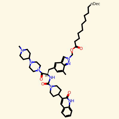 CCCCCCCCCCCCCCCCCCCC(=O)OCn1cc2cc(C[C@@H](NC(=O)N3CCC(c4cc5ccccc5[nH]c4=O)CC3)C(=O)N3CCN(C4CCN(C)CC4)CC3)cc(C)c2n1